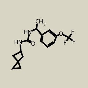 CC(NC(=O)NC1CC2(CC2)C1)c1cccc(OC(F)(F)F)c1